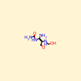 NC(=O)N/C(N)=C(\C=O)NCO